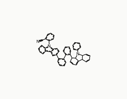 N#Cc1ccccc1-n1c2ccccc2c2cc(-c3ccccc3-c3ccccc3C3C=CC=C4C5C=CC=CC5N(c5ccccc5)C43)ccc21